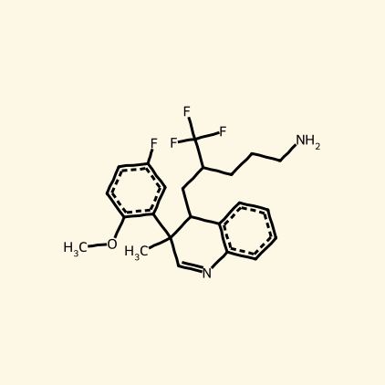 COc1ccc(F)cc1C1(C)C=Nc2ccccc2C1CC(CCCN)C(F)(F)F